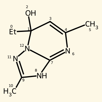 CCC1(O)C=C(C)N=C2NC(C)=NN21